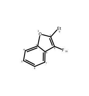 CCc1oc2ccccc2c1F